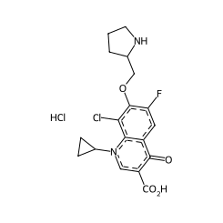 Cl.O=C(O)c1cn(C2CC2)c2c(Cl)c(OCC3CCCN3)c(F)cc2c1=O